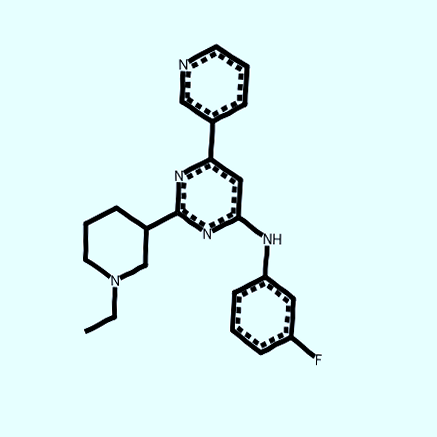 CCN1CCCC(c2nc(Nc3cccc(F)c3)cc(-c3cccnc3)n2)C1